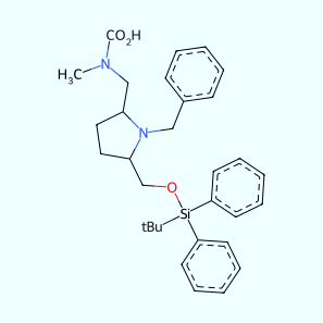 CN(CC1CCC(CO[Si](c2ccccc2)(c2ccccc2)C(C)(C)C)N1Cc1ccccc1)C(=O)O